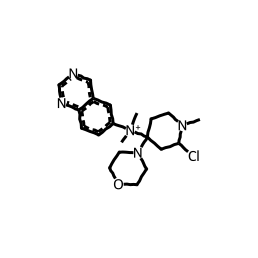 CN1CCC(N2CCOCC2)([N+](C)(C)c2ccc3ncncc3c2)CC1Cl